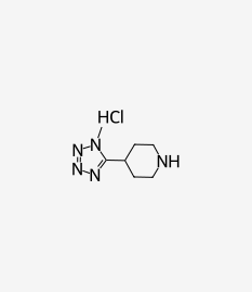 Cl.Cn1nnnc1C1CCNCC1